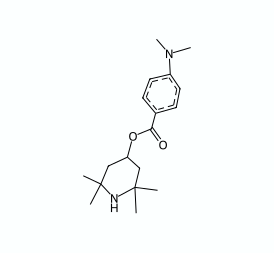 CN(C)c1ccc(C(=O)OC2CC(C)(C)NC(C)(C)C2)cc1